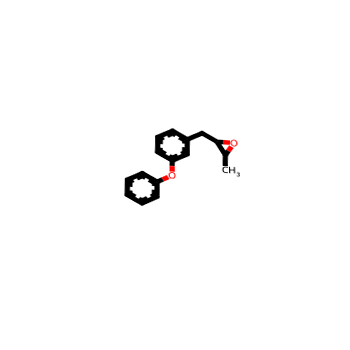 CC1OC1Cc1cccc(Oc2ccccc2)c1